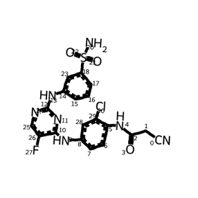 N#CCC(=O)Nc1ccc(Nc2nc(Nc3cccc(S(N)(=O)=O)c3)ncc2F)cc1Cl